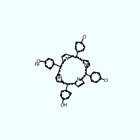 Oc1ccc(-c2c3nc(c(-c4ccc(Cl)cc4)c4ccc([nH]4)c(-c4ccc(Cl)cc4)c4nc(c(-c5ccc(Cl)cc5)c5ccc2[nH]5)C=C4)C=C3)cc1.[Fe]